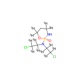 [2H]C1([2H])CC([2H])([2H])OP(=O)(N(C([2H])([2H])C([2H])([2H])Cl)C([2H])([2H])C([2H])([2H])Cl)N1